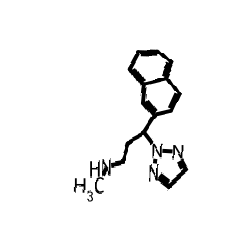 CNCCC(c1ccc2ccccc2c1)n1nccn1